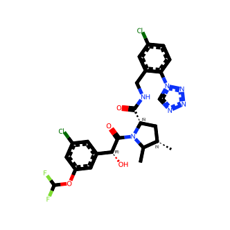 CC1[C@@H](C)C[C@@H](C(=O)NCc2cc(Cl)ccc2-n2cnnn2)N1C(=O)[C@H](O)c1cc(Cl)cc(OC(F)F)c1